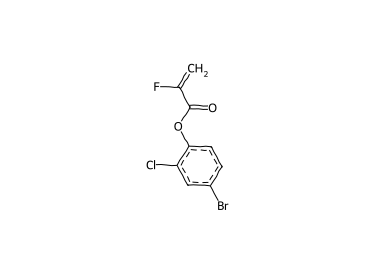 C=C(F)C(=O)Oc1ccc(Br)cc1Cl